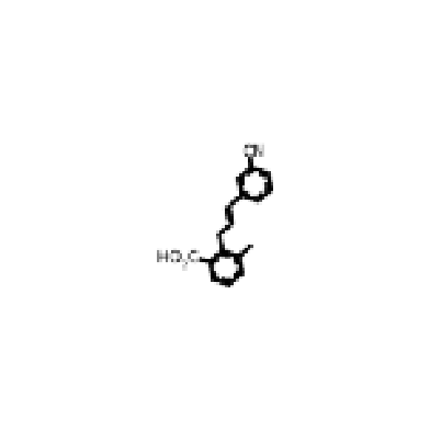 Cc1cccc(C(=O)O)c1CC=Cc1cccc(C#N)c1